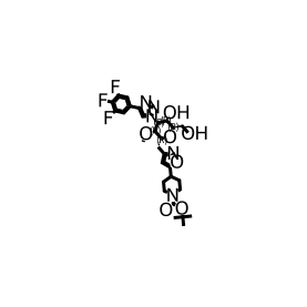 CO[C@@H]1[C@@H](n2cc(-c3cc(F)c(F)c(F)c3)nn2)[C@@H](O)[C@@H](CO)O[C@@H]1Cc1cc(C2CCN(C(=O)OC(C)(C)C)CC2)on1